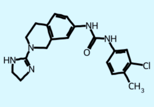 Cc1ccc(NC(=O)Nc2ccc3c(c2)CN(C2=NCCN2)CC3)cc1Cl